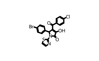 O=C(C1=C(O)C(=O)N(c2nccs2)C1c1ccc(Br)cc1)c1ccc(Cl)cc1